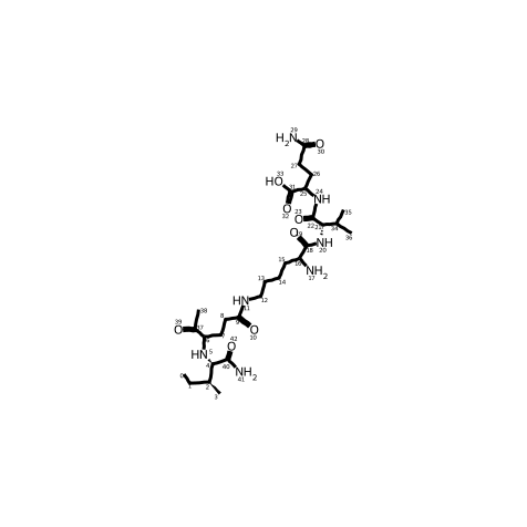 CC[C@H](C)[C@H](NC(CCC(=O)NCCCCC(N)C(=O)N[C@H](C(=O)NC(CCC(N)=O)C(=O)O)C(C)C)C(C)=O)C(N)=O